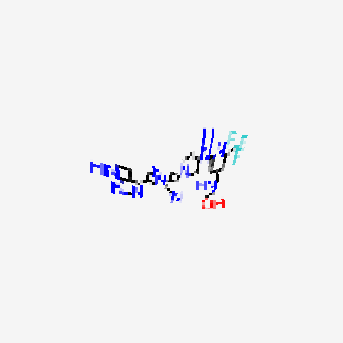 N#CC[C@]1(n2cc(-c3ncnc4[nH]ccc34)cn2)C[C@@H](N2CCC(Nc3cc(CNCCO)cc(C(F)(F)F)n3)CC2)C1